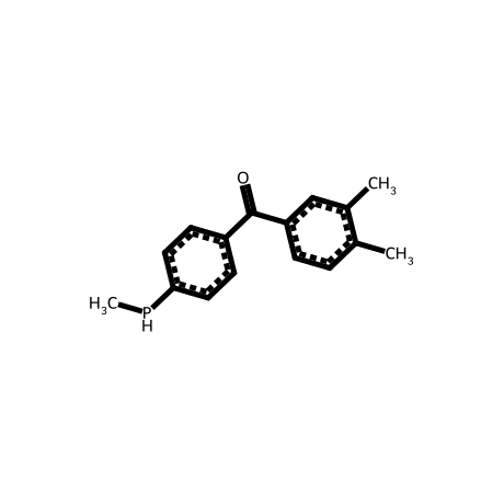 CPc1ccc(C(=O)c2ccc(C)c(C)c2)cc1